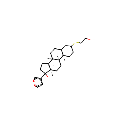 C[C@]12CCC(SCCO)CC1CC[C@@H]1[C@H]2CC[C@@]2(C)[C@H]1CCC2(O)c1ccoc1